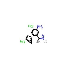 CCNC(CC)c1cccc(N)c1.Cl.Cl.c1cc2cc-2c1